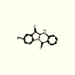 O=C1c2cc(F)ccc2N2C(=O)c3ccccc3NC12